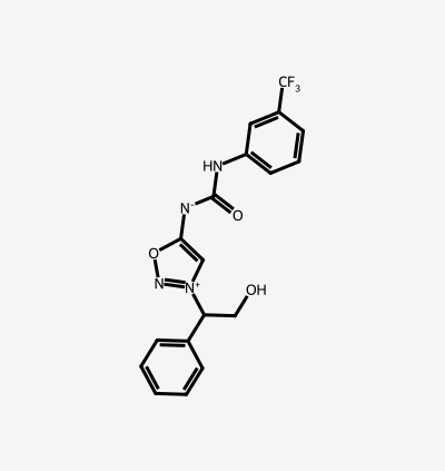 O=C([N-]c1c[n+](C(CO)c2ccccc2)no1)Nc1cccc(C(F)(F)F)c1